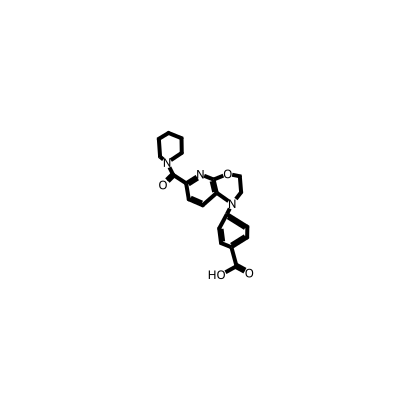 O=C(O)c1ccc(N2CCOc3nc(C(=O)N4CCCCC4)ccc32)cc1